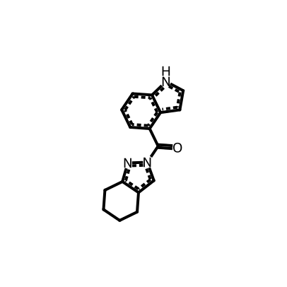 O=C(c1cccc2[nH]ccc12)n1cc2c(n1)CCCC2